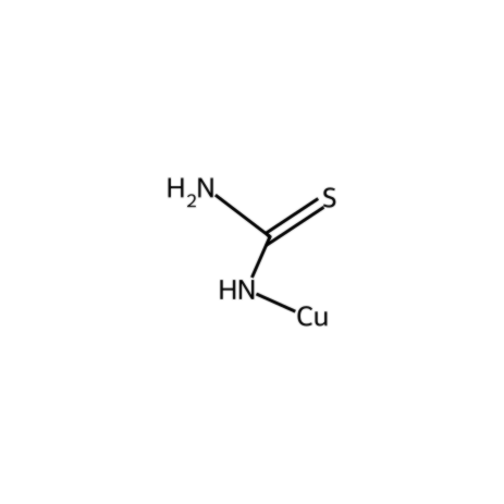 NC(=S)[NH][Cu]